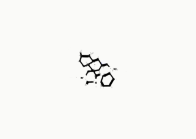 CN1C(=O)N(C)C(=O)C2(C/C(=C\N(C)c3ccccc3)C=C3C(Cl)=C(C=O)CC[C@@H]32)C1=O